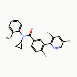 COc1ccccc1N(C(=O)c1ccc(Cl)c(-c2ncc(Cl)cc2Cl)c1)C1CC1